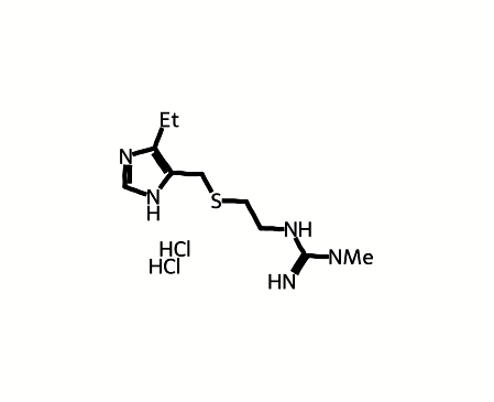 CCc1nc[nH]c1CSCCNC(=N)NC.Cl.Cl